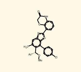 CC(=O)[C@@H](OC(C)(C)C)c1c(C)cc2nc(-c3cccc4c3OCC(=O)N4)sc2c1-c1ccc(Cl)cc1